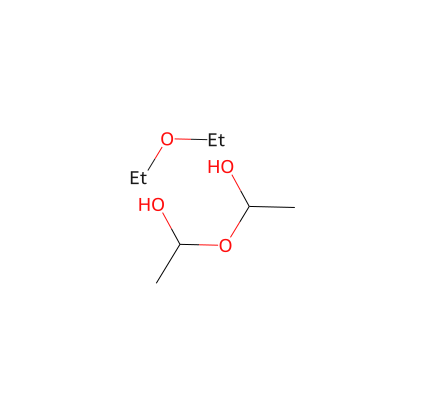 CC(O)OC(C)O.CCOCC